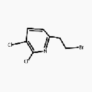 Clc1ccc(CCBr)nc1Cl